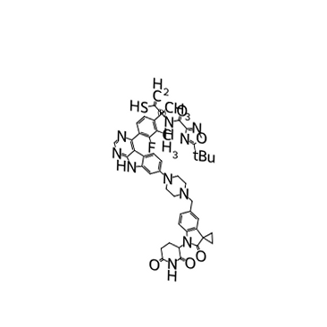 C=C(S)[C@](C)(NC(=O)c1noc(C(C)(C)C)n1)c1ccc(-c2ncnc3[nH]c4cc(N5CCN(Cc6ccc7c(c6)C6(CC6)C(=O)N7C6CCC(=O)NC6=O)CC5)ccc4c23)c(F)c1C